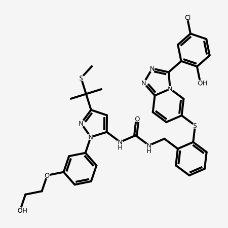 CSC(C)(C)c1cc(NC(=O)NCc2ccccc2Sc2ccc3nnc(-c4cc(Cl)ccc4O)n3c2)n(-c2cccc(OCCO)c2)n1